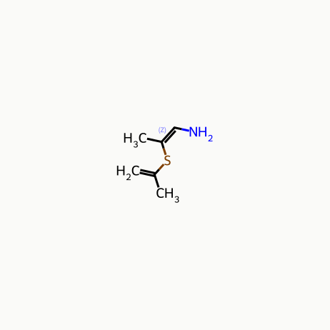 C=C(C)S/C(C)=C\N